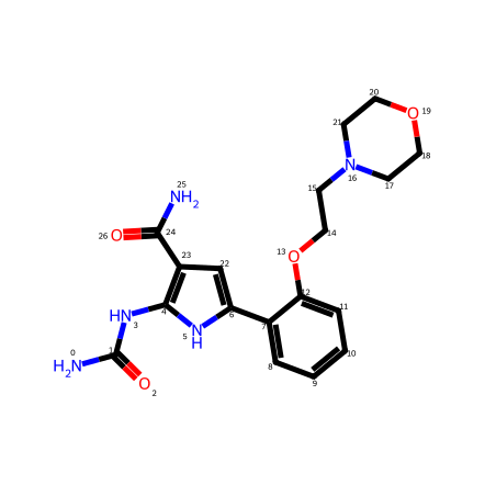 NC(=O)Nc1[nH]c(-c2ccccc2OCCN2CCOCC2)cc1C(N)=O